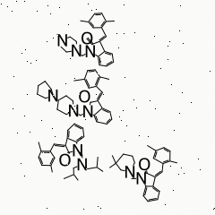 Cc1ccc(C)c(C=C2C(=O)N(CN(CC(C)C)CC(C)C)c3ccccc32)c1.Cc1ccc(C)c(C=C2C(=O)N(CN3CCC(N4CCCCC4)CC3)c3ccccc32)c1.Cc1ccc(C)c(C=C2C(=O)N(CN3CCCC(C)(C)C3)c3ccccc32)c1.Cc1ccc(C)c(C=C2C(=O)N(CN3CCN(C)CC3)c3ccccc32)c1